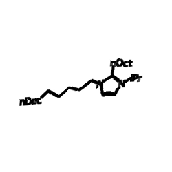 CCCCCCCCCCCCCCCN1C=CN(C(C)C)C1CCCCCCCC